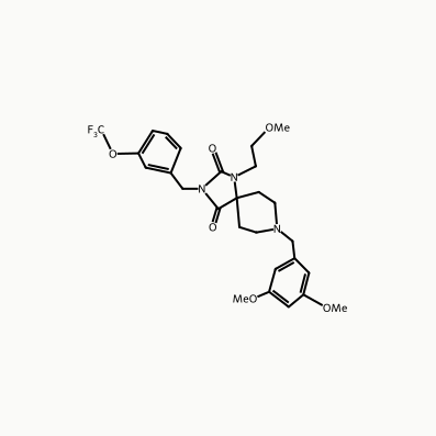 COCCN1C(=O)N(Cc2cccc(OC(F)(F)F)c2)C(=O)C12CCN(Cc1cc(OC)cc(OC)c1)CC2